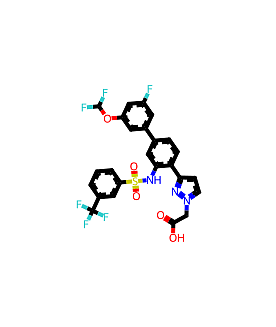 O=C(O)Cn1ccc(-c2ccc(-c3cc(F)cc(OC(F)F)c3)cc2NS(=O)(=O)c2cccc(C(F)(F)F)c2)n1